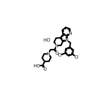 Cl.O=C(O)C1CCN(CC(=O)N2CCc3c(n(Cc4cc(Cl)cc(Cl)c4)c4ncccc34)C2)CC1